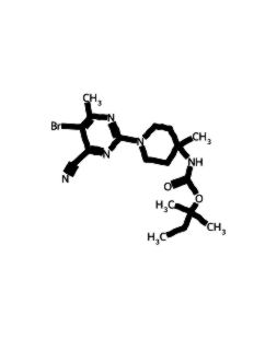 CCC(C)(C)OC(=O)NC1(C)CCN(c2nc(C)c(Br)c(C#N)n2)CC1